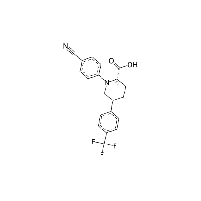 N#Cc1ccc(N2CC(c3ccc(C(F)(F)F)cc3)CC[C@H]2C(=O)O)cc1